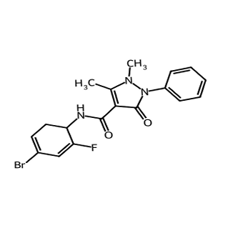 Cc1c(C(=O)NC2CC=C(Br)C=C2F)c(=O)n(-c2ccccc2)n1C